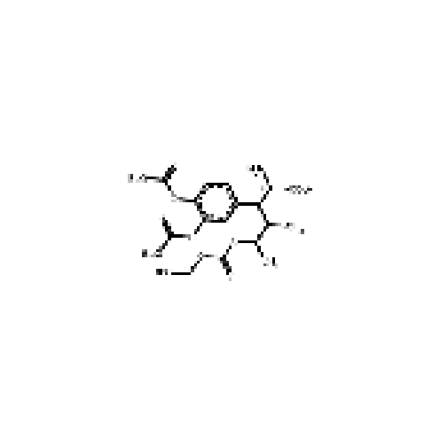 CC(C)COC(=O)Oc1ccc(C(C(C)C(C)OC(=O)OCC(C)(C)C)[C@H](N)C(=O)O)cc1OC(=O)OCC(C)C